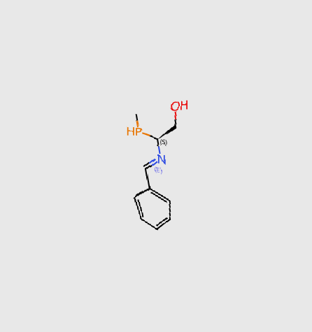 CP[C@@H](CO)/N=C/c1ccccc1